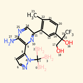 BC(B)(B)n1nccc1-c1nc(-c2cc(C(O)(CO)C(F)(F)F)ccc2C)cnc1N